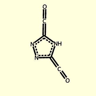 O=C=c1nnc(=C=O)[nH]1